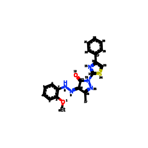 CCOc1ccccc1N/N=C1\C(=O)N(c2nc(-c3ccccc3)cs2)N=C1C